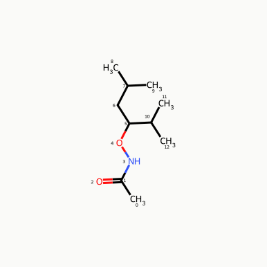 CC(=O)NOC(CC(C)C)C(C)C